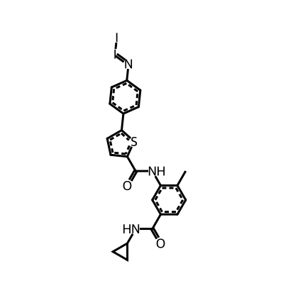 Cc1ccc(C(=O)NC2CC2)cc1NC(=O)c1ccc(-c2ccc(/N=I/I)cc2)s1